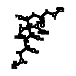 CCOCC(=O)C[C](=O)[Zr]([O]C(C)CC)([O]C(C)CC)[C](=O)CC(=O)COCC